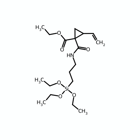 C=CC1CC1(C(=O)NCCC[Si](OCC)(OCC)OCC)C(=O)OCC